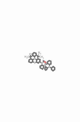 CC1(C)c2cccc3c2B2c4c(cc(N5c6ccccc6[Si]6(c7ccccc7N(c7ccccc7)c7ccccc76)c6ccccc65)cc4C(C)(C)c4cccc1c42)S3